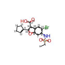 CCS(=O)(=O)Nc1cc2oc(C3=CCCC3)c(C(=O)O)c2cc1Br